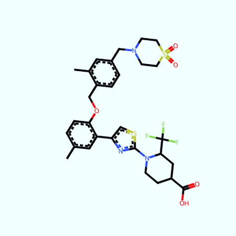 Cc1ccc(OCc2ccc(CN3CCS(=O)(=O)CC3)cc2C)c(-c2csc(N3CCC(C(=O)O)CC3C(F)(F)F)n2)c1